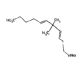 CCCCCCCCCCC/C=C/C(C)(C)/C=C/CCCC(=O)O